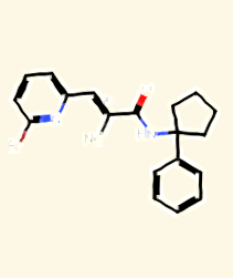 N#C/C(=C\c1cccc(Br)n1)C(=O)NC1(c2ccccc2)CCCC1